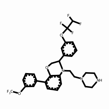 FC(F)C(F)(F)Oc1cccc(C2COc3c(-c4cccc(OC(F)(F)F)c4)cccc3N2CCN2CCNCC2)c1